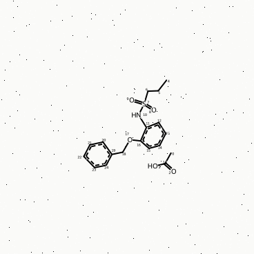 CC(=O)O.CCCS(=O)(=O)Nc1ccccc1OCc1ccccc1